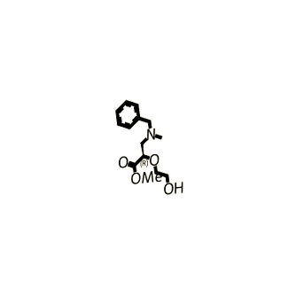 COC(=O)[C@@H](CN(C)Cc1ccccc1)OCCO